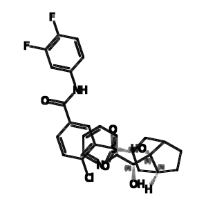 O=C(Nc1ccc(F)c(F)c1)c1ccc(Cl)c(S(=O)(=O)[C@@H]2CC3CC[C@@H](C2)[C@@]3(O)[C@H](O)c2ccccn2)c1